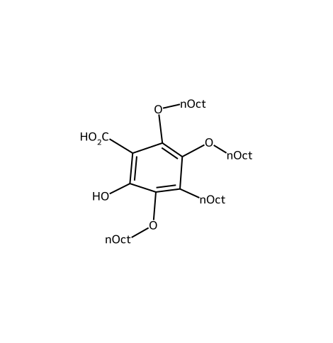 CCCCCCCCOc1c(O)c(C(=O)O)c(OCCCCCCCC)c(OCCCCCCCC)c1CCCCCCCC